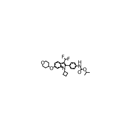 CC(C)OC(=O)Nc1ccc(-c2c(C(F)F)c3ccc(OC4CCOCC4)cc3n2C2CCC2)cc1